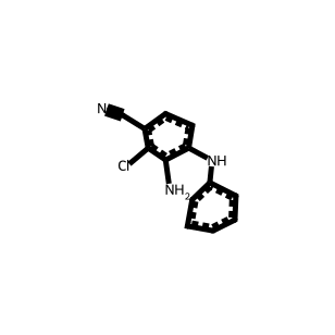 N#Cc1ccc(Nc2ccccc2)c(N)c1Cl